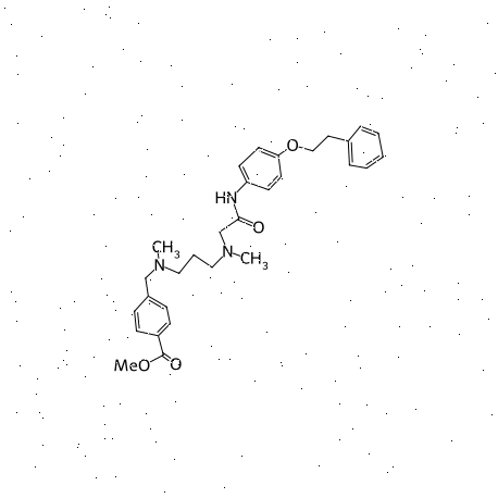 COC(=O)c1ccc(CN(C)CCCN(C)CC(=O)Nc2ccc(OCCc3ccccc3)cc2)cc1